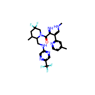 CN/C=C(\C(=N)C(=O)N1CC(F)(F)CC(C)C1CNc1cnc(C(F)(F)F)cn1)c1cc(C)ccn1